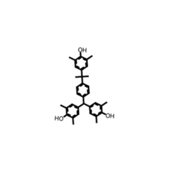 Cc1cc(C(c2ccc(C(C)(C)c3cc(C)c(O)c(C)c3)cc2)c2cc(C)c(O)c(C)c2)cc(C)c1O